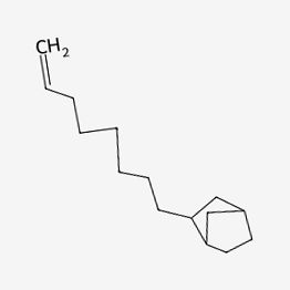 C=CCCCCCCC1CC2CCC1C2